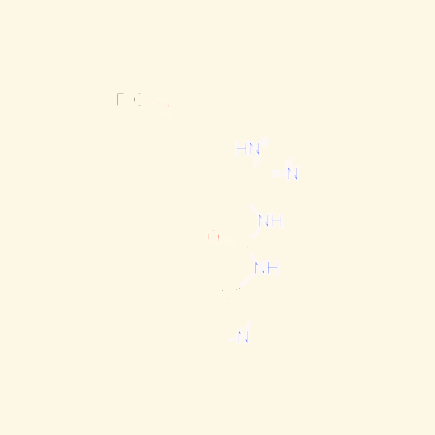 O=C(NC(Cc1ccc(OC(F)(F)F)cc1)c1nc2ccccc2[nH]1)NC1CN2CCC1CC2